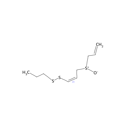 C=CC[S+]([O-])C/C=C\SSCCC